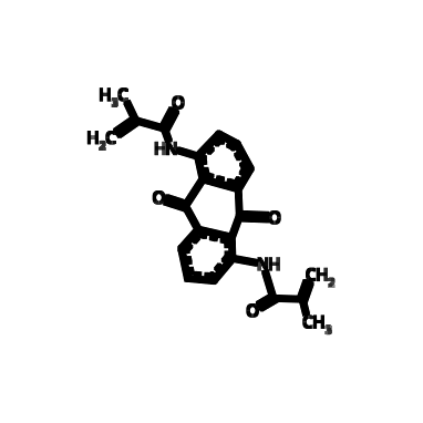 C=C(C)C(=O)Nc1cccc2c1C(=O)c1cccc(NC(=O)C(=C)C)c1C2=O